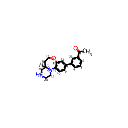 CC(=O)c1cccc(-c2ccc3c(c2)OCC[C@H]2CNCCN32)c1